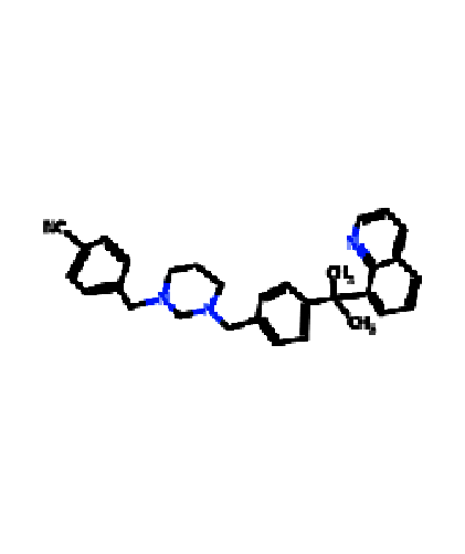 CC(C)(c1ccc(CN2CCCN(Cc3ccc(C#N)cc3)C2)cc1)c1cccc2cccnc12